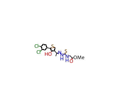 COC(=O)CNC(=S)NN=C(C)c1csc(-c2ccc(Cl)c(Cl)c2)c1O